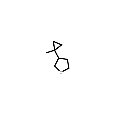 CC1(C2CCOC2)CC1